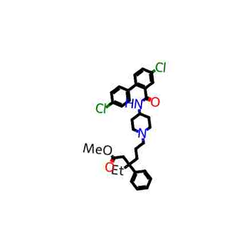 CCC(CCCN1CCC(NC(=O)c2cc(Cl)ccc2-c2ccc(Cl)cc2)CC1)(CC(=O)OC)c1ccccc1